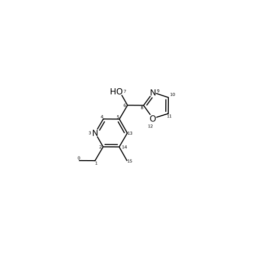 CCc1ncc(C(O)c2ncco2)cc1C